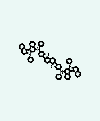 c1ccc(N(c2ccc3c(c2)oc2c3ccc3c2ccc2c4ccc(N(c5ccccc5)c5cc6c(c7ccccc57)c5c7ccccc7ccc5n6-c5ccccc5)cc4oc23)c2cc3c(c4ccccc24)c2c4ccccc4ccc2n3-c2ccccc2)cc1